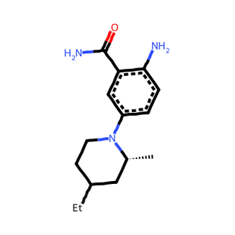 CCC1CCN(c2ccc(N)c(C(N)=O)c2)[C@H](C)C1